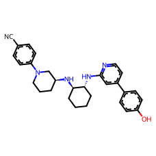 N#Cc1ccc(N2CCC[C@H](N[C@@H]3CCCC[C@H]3Nc3cc(-c4ccc(O)cc4)ccn3)C2)cc1